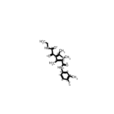 CCNC(=O)C(=O)c1c(C)c(C(=O)Nc2ccc(F)c(C)c2)n(C)c1C